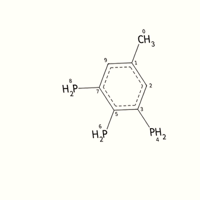 Cc1cc(P)c(P)c(P)c1